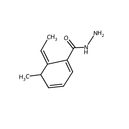 CC=C1C(C(=O)NN)=CC=CC1C